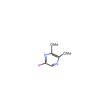 COc1ncc(I)nc1OC